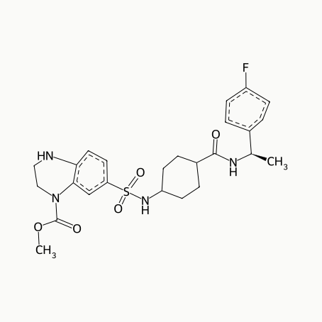 COC(=O)N1CCNc2ccc(S(=O)(=O)NC3CCC(C(=O)N[C@H](C)c4ccc(F)cc4)CC3)cc21